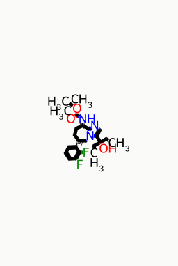 CCC(O)(CC)c1cnc2n1C[C@H](c1cccc(F)c1F)CC[C@H]2NC(=O)OC(C)(C)C